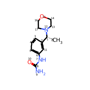 C[C@H](c1[c]ccc(NC(N)=O)c1)N1CCOCC1